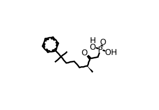 C[C@@H](CCCC(C)(C)c1ccccc1)C(=O)CP(=O)(O)O